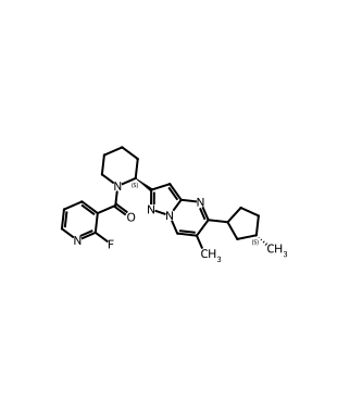 Cc1cn2nc([C@@H]3CCCCN3C(=O)c3cccnc3F)cc2nc1C1CC[C@H](C)C1